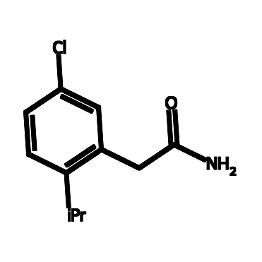 CC(C)c1ccc(Cl)cc1CC(N)=O